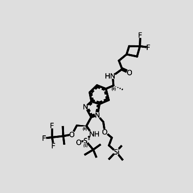 C[C@@H](NC(=O)CC1CC(F)(F)C1)c1ccc2nc([C@H](COC(C)(C)C(F)(F)F)N[S@+]([O-])C(C)(C)C)n(COCC[Si](C)(C)C)c2c1